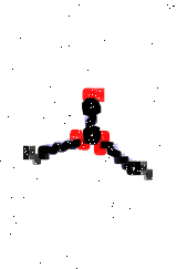 C/C=C/C=C/C=C/C(=O)Oc1cc(/C=C/c2ccc(O)cc2)cc(OC(=O)/C=C/C=C/C=C/C)c1